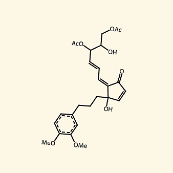 COc1ccc(CCCC2(O)C=CC(=O)/C2=C\C=C\C(OC(C)=O)C(O)COC(C)=O)cc1OC